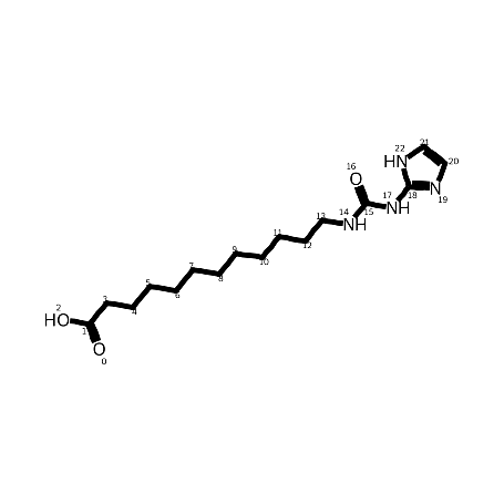 O=C(O)CCCCCCCCCCCNC(=O)Nc1ncc[nH]1